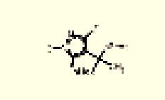 CCCCCCC(C)(CCCCC)c1c(F)nn(C)c1I